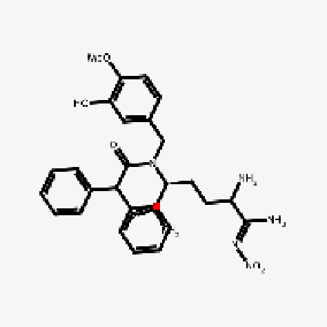 COc1ccc(CN(C(=O)C(c2ccccc2)c2ccccc2)[C@@H](CCC(N)C(N)=N[N+](=O)[O-])C(N)=O)cc1O